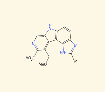 COCc1c(C(=O)O)ncc2[nH]c3ccc4nc(C(C)C)[nH]c4c3c12